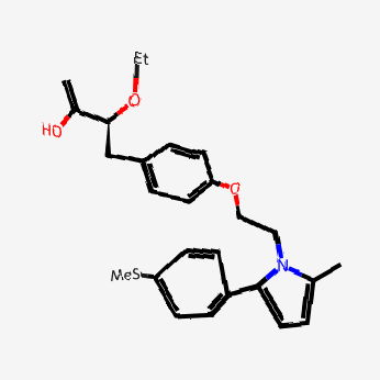 C=C(O)[C@H](Cc1ccc(OCCn2c(C)ccc2-c2ccc(SC)cc2)cc1)OCC